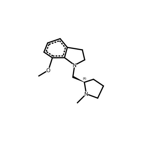 COc1cccc2c1N(C[C@H]1CCCN1C)CC2